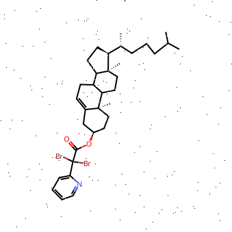 CC(C)CCC[C@@H](C)[C@@H]1CCC2C3CC=C4C[C@H](OC(=O)C(Br)(Br)c5ccccn5)CC[C@]4(C)C3CC[C@@]21C